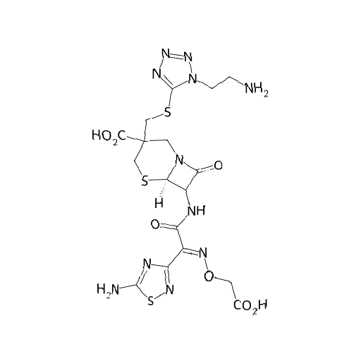 NCCn1nnnc1SCC1(C(=O)O)CS[C@@H]2C(NC(=O)C(=NOCC(=O)O)c3nsc(N)n3)C(=O)N2C1